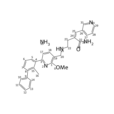 COc1nc(-c2cccc(-c3ccccc3)c2C)ccc1CNCCC(=Cc1cccnc1)C(N)=O.N